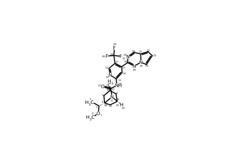 COC(C)[C@@]12C[C@@H](C)C[C@@H](C1)N2C(=O)Nc1cc(-c2ncc3cccn3n2)c(C(F)(F)F)cn1